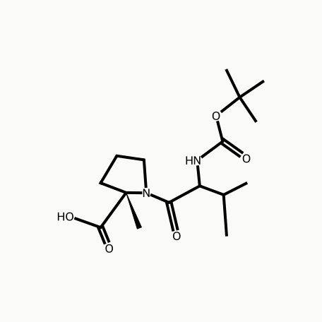 CC(C)C(NC(=O)OC(C)(C)C)C(=O)N1CCC[C@@]1(C)C(=O)O